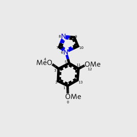 COc1cc(OC)c(-n2[c]ncc2)c(OC)c1